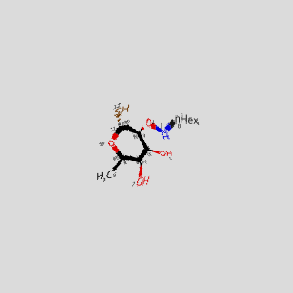 CCCCCCNO[C@@H]1[C@@H](O)[C@@H](O)[C@@H](C)O[C@@H]1S